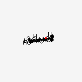 O=CNc1cc(C(O)CNCc2ccc(NC(=O)CCN3CCC(OC(=O)Nc4ccccc4-c4ccccc4)CC3)cc2)ccc1O